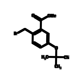 COC(=O)c1cc(OC(C)(C)C#N)ccc1CBr